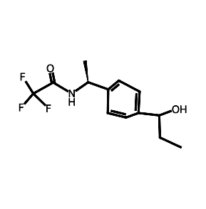 CCC(O)c1ccc([C@H](C)NC(=O)C(F)(F)F)cc1